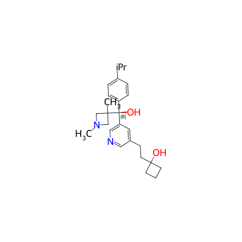 CC(C)c1ccc([C@](O)(c2cncc(CCC3(O)CCC3)c2)C2(C)CN(C)C2)cc1